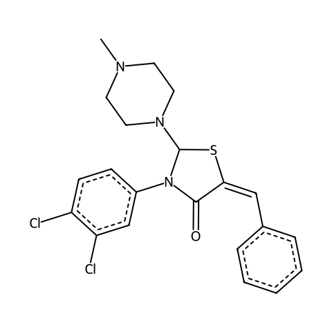 CN1CCN(C2SC(=Cc3ccccc3)C(=O)N2c2ccc(Cl)c(Cl)c2)CC1